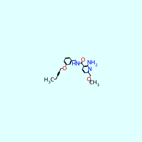 CCC#CCOc1cccc(CNC(=O)c2ccc(COC)nc2N)c1